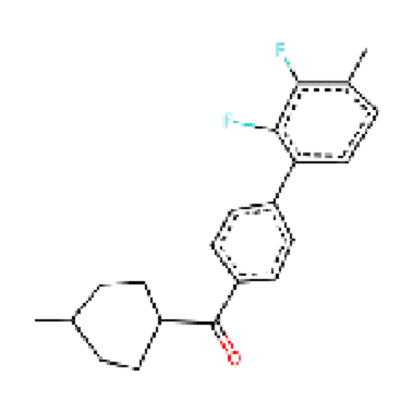 Cc1ccc(-c2ccc(C(=O)C3CCC(C)CC3)cc2)c(F)c1F